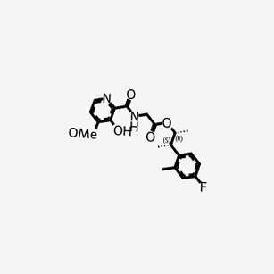 COc1ccnc(C(=O)NCC(=O)O[C@H](C)[C@@H](C)c2ccc(F)cc2C)c1O